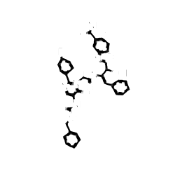 NC(=O)c1ccc2oc(C(O)C(=Cc3ccccc3)NC(=O)Cn3c(-c4ccc(F)cc4)ncc(NC(=O)OCc4ccccc4)c3=O)nc2c1